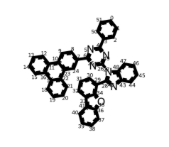 c1ccc(-c2nc(-c3ccc4c5ccccc5c5ccccc5c4c3)nc(-n3c(-c4cccc5c4oc4ccccc45)nc4ccccc43)n2)cc1